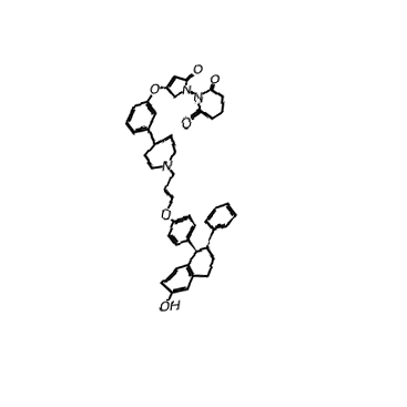 O=C1C=C(Oc2cccc(C3CCN(CCCOc4ccc([C@@H]5c6ccc(O)cc6CC[C@@H]5c5ccccc5)cc4)CC3)c2)CN1N1C(=O)CCCC1=O